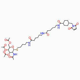 CC(=O)NC1[C@@H](OC(C)=O)[C@@H](OC(C)=O)C(COC(C)=O)O[C@H]1SCCCCCNC(=O)CCCCCNC(=O)CCCCCNC(=O)C1CCC(CN2C(=O)C=CC2=O)CC1